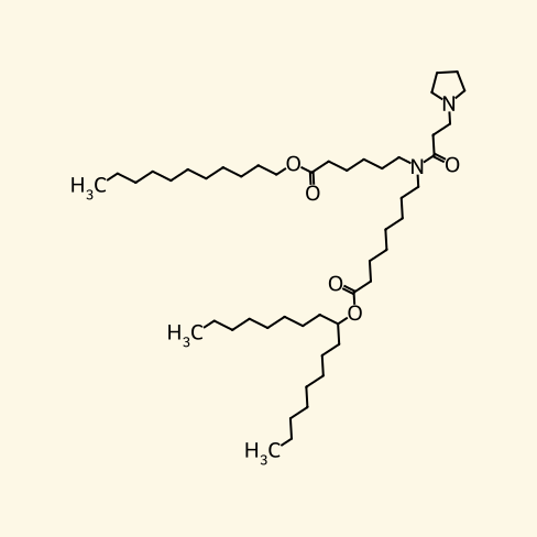 CCCCCCCCCCCOC(=O)CCCCCN(CCCCCCCC(=O)OC(CCCCCCCC)CCCCCCCC)C(=O)CCN1CCCC1